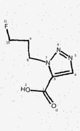 O=C(O)c1cnnn1CCCF